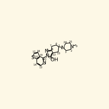 CN1CCN(C2CCc3nn(-c4nccc5sccc45)c(O)c3C2)CC1